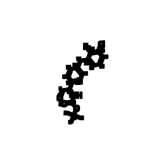 CC(C)(C)OC(=O)NC(C=O)c1ccc(Cc2cccc(Cl)c2F)cn1